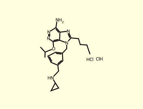 CCCCc1nc2c(N)nnc(OC(C)C)c2n1Cc1cccc(CNC2CC2)c1.Cl.Cl